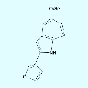 COc1ccc2[nH]c(-c3ccoc3)cc2c1